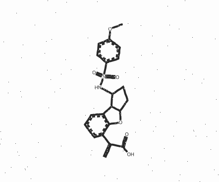 C=C(C(=O)O)c1cccc2c1OC1CCC(NS(=O)(=O)c3ccc(OC)cc3)C21